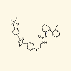 CCc1ccccc1N1CCCS/C1=N\C(=O)NCCC(C)c1ccc(-c2ncn(-c3ccc(OC(F)(F)F)cc3)n2)cc1